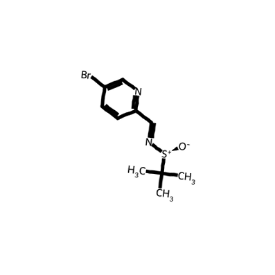 CC(C)(C)[S@+]([O-])N=Cc1ccc(Br)cn1